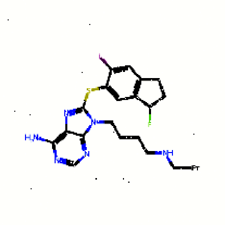 CC(C)CNCCCCn1c(Sc2cc3c(cc2I)CCC3F)nc2c(N)ncnc21